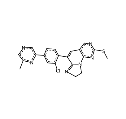 CSc1ncc2c(n1)N1CCN=C1C(c1ccc(-c3cncc(C)n3)cc1Cl)=C2